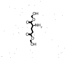 N[C@@H](CCC(=O)OCO)C(=O)OCO